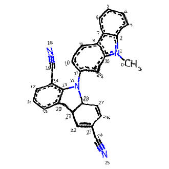 Cn1c2ccccc2c2ccc(N3c4c(C#N)cccc4C4C=C(C#N)C=CC43)cc21